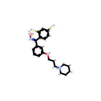 ON=C(c1cccc(OCCCN2CCCCC2)c1)c1ccc(F)cc1F